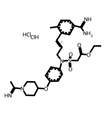 CCOC(=O)CS(=O)(=O)N(C/C=C/c1cc(C(=N)N)ccc1C)c1ccc(OC2CCN(C(C)=N)CC2)cc1.Cl.Cl